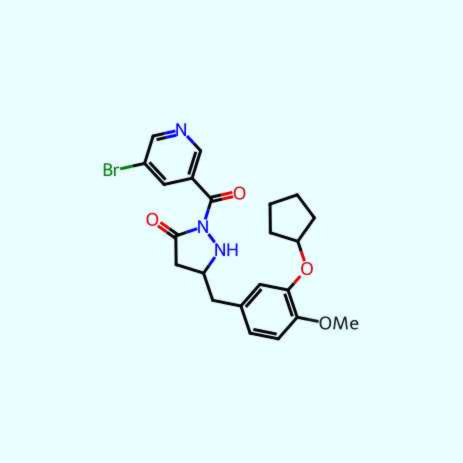 COc1ccc(CC2CC(=O)N(C(=O)c3cncc(Br)c3)N2)cc1OC1CCCC1